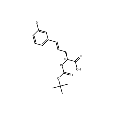 CC(C)(C)OC(=O)N[C@@H](CC=Cc1cccc(Br)c1)C(=O)O